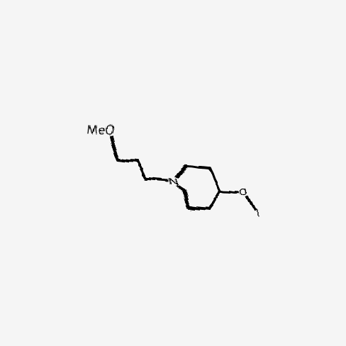 COCCCN1CCC(OI)CC1